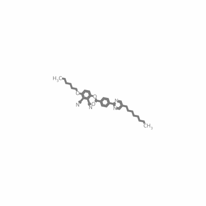 CCCCCCCCc1cnc(-c2ccc(C(=O)Oc3ccc(OCCCCCC)c(C#N)c3C#N)cc2)nc1